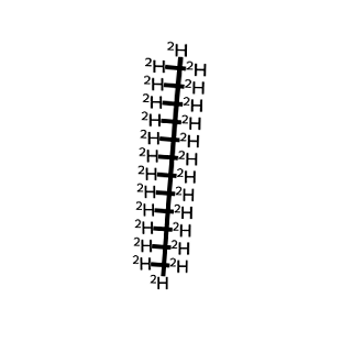 [2H]C([2H])([2H])C([2H])([2H])C([2H])([2H])C([2H])([2H])C([2H])([2H])C([2H])([2H])C([2H])([2H])C([2H])([2H])C([2H])([2H])C([2H])([2H])C([2H])([2H])C([2H])([2H])[2H]